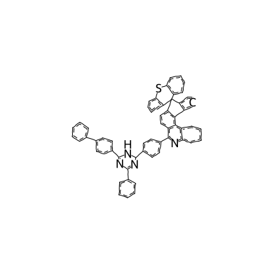 c1ccc(C2=NC(c3ccc(-c4nc5ccccc5c5c6c(ccc45)C4(c5ccccc5Sc5ccccc54)c4ccccc4-6)cc3)NC(c3ccc(-c4ccccc4)cc3)=N2)cc1